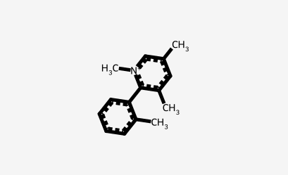 Cc1cc(C)c(-c2ccccc2C)[n+](C)c1